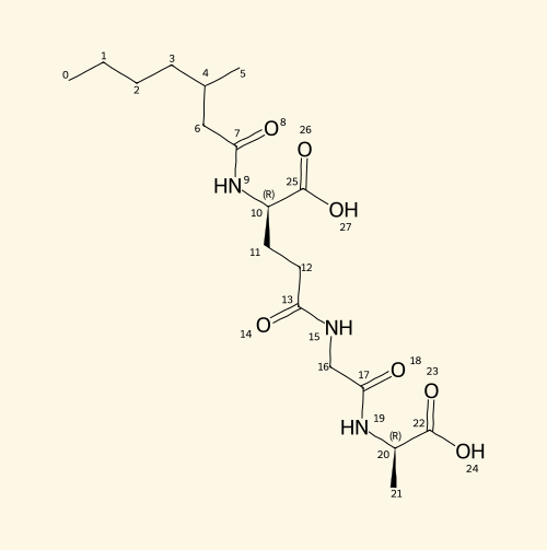 CCCCC(C)CC(=O)N[C@H](CCC(=O)NCC(=O)N[C@H](C)C(=O)O)C(=O)O